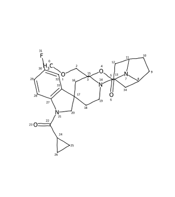 COCCOC(=O)N1C2CCC1CC(N1CCC3(CC1)CN(C(=O)C1CC1)c1ccc(F)cc13)C2